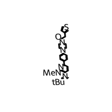 CNc1nc(-c2ccc(N3CCN(C(=O)Cc4ccsc4)CC3)cc2)ccc1N(C)CC(C)(C)C